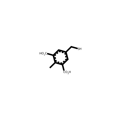 Cc1c(C(=O)O)cc(CS)cc1C(=O)O